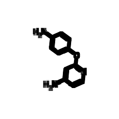 Nc1ccc(Oc2cc(N)ccn2)cc1